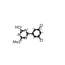 CSc1nc(O)nc(-c2cc(Cl)cc(Cl)c2)n1